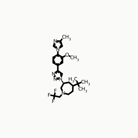 COc1cc(-c2cn([C@H]3CC(C(C)(C)C)CCN(CC(F)(F)F)C3)nn2)ccc1-n1cnc(C)c1